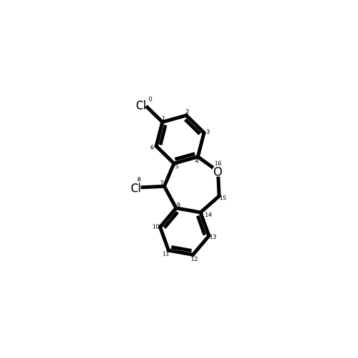 Clc1ccc2c(c1)C(Cl)c1ccccc1CO2